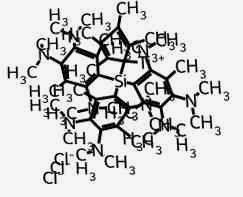 CC1=C(C)[C]([Ti+3])([Si](c2c(C)c(N(C)C)c(N(C)C)c(C)c2N(C)C)(c2c(C)c(N(C)C)c(N(C)C)c(C)c2N(C)C)c2c(C)c(N(C)C)c(N(C)C)c(C)c2N(C)C)C(C)=C1C.[Cl-].[Cl-].[Cl-]